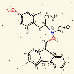 Cc1cc(O)cc(C)c1C[C@@H](C(=O)O)N(C=O)OCC1c2ccccc2-c2ccccc21